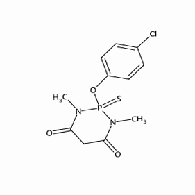 CN1C(=O)CC(=O)N(C)P1(=S)Oc1ccc(Cl)cc1